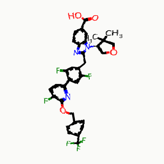 CC1(C)COC[C@H]1n1c(Cc2cc(F)c(-c3ccc(F)c(OCc4ccc(C(F)(F)F)cc4)n3)cc2F)nc2ccc(C(=O)O)cc21